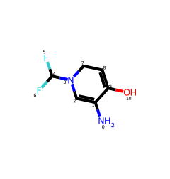 NC1=CN(C(F)F)CC=C1O